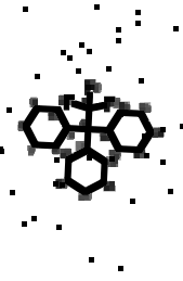 FC(F)(F)C(C1CCCCC1)(C1CCCCC1)C1CCCCC1